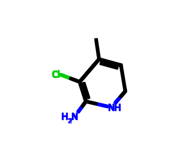 CC1=CCNC(N)=C1Cl